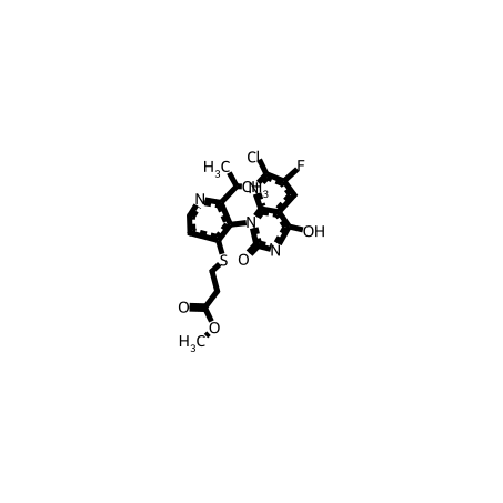 COC(=O)CCSc1ccnc(C(C)C)c1-n1c(=O)nc(O)c2cc(F)c(Cl)nc21